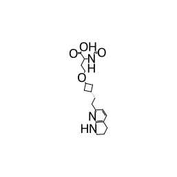 O=CNC(CCO[C@H]1C[C@H](CCc2ccc3c(n2)NCCC3)C1)C(=O)O